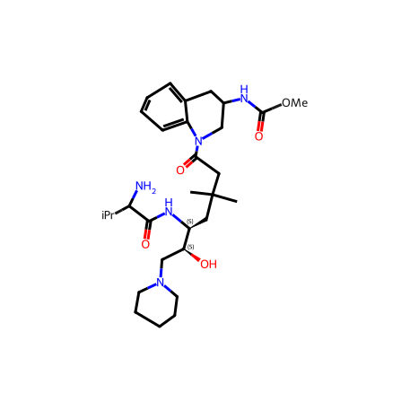 COC(=O)NC1Cc2ccccc2N(C(=O)CC(C)(C)C[C@H](NC(=O)C(N)C(C)C)[C@@H](O)CN2CCCCC2)C1